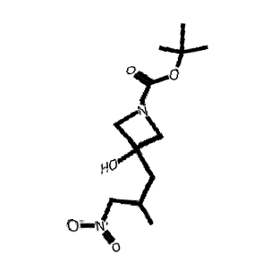 CC(C[N+](=O)[O-])CC1(O)CN(C(=O)OC(C)(C)C)C1